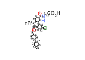 CCCC(c1ccc(C(=O)NCCC(=O)O)cc1)C(COCc1ccc(-c2ccccc2)cc1)c1ccc(Cl)cc1